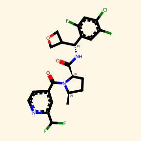 C[C@@H]1CC[C@H](C(=O)N[C@@H](c2cc(F)c(Cl)cc2F)C2COC2)N1C(=O)c1ccnc(C(F)F)c1